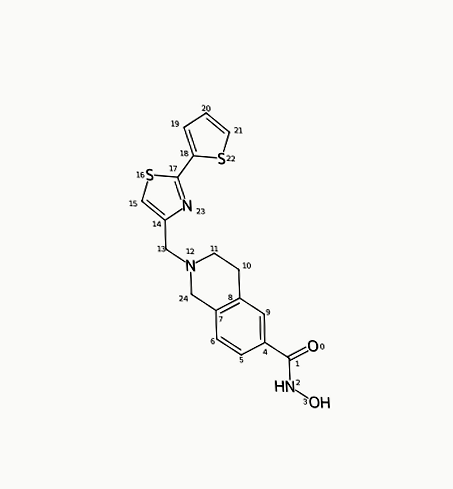 O=C(NO)c1ccc2c(c1)CCN(Cc1csc(-c3cccs3)n1)C2